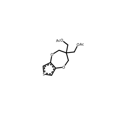 CC(=O)OCC1(COC(C)=O)COc2cscc2OC1